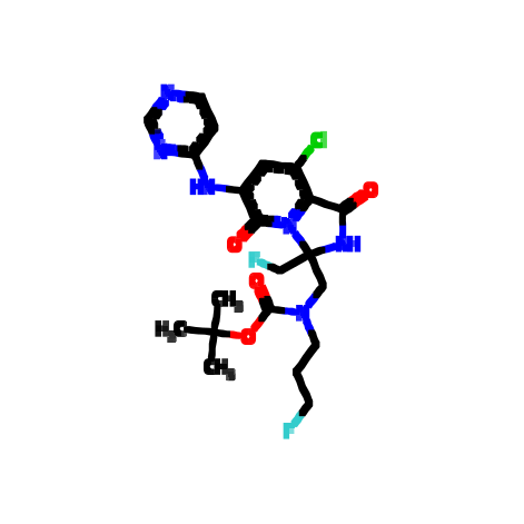 CC(C)(C)OC(=O)N(CCCF)CC1(CF)NC(=O)c2c(Cl)cc(Nc3ccncn3)c(=O)n21